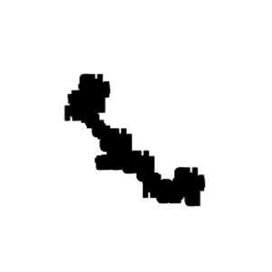 CN1Cc2c(Cl)cc(Cl)cc2[C@H](c2cccc(S(=O)(=O)NCCOCCOCCNC(=O)NCCN(CCNC(=O)NCCOCCOCCNS(=O)(=O)c3cccc([C@@H]4CN(C)Cc5c(Cl)cc(Cl)cc54)c3)C(=O)OC(C)(C)C)c2)C1